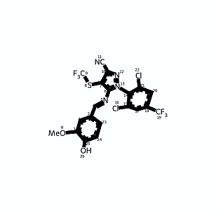 COc1cc(C=Nc2c(SC(F)(F)F)c(C#N)nn2-c2c(Cl)cc(C(F)(F)F)cc2Cl)ccc1O